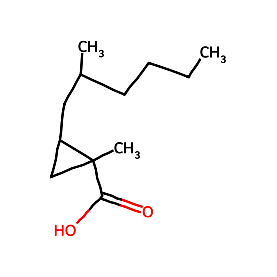 CCCCC(C)CC1CC1(C)C(=O)O